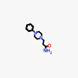 NC(=O)CCN1CCN(c2ccccc2)CC1